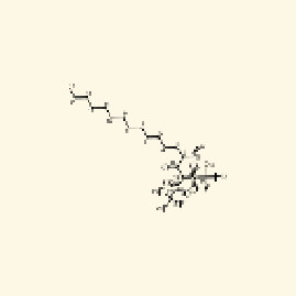 C=CC(CCCCCCCCCCCCC)C(=O)C(S(=O)(=O)C(F)(F)F)S(=O)(=O)C(F)(F)F